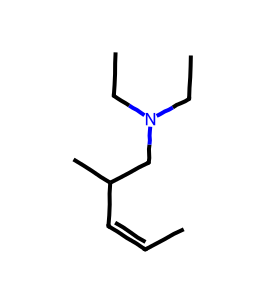 C/C=C\C(C)CN(CC)CC